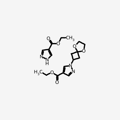 CCOC(=O)c1cn[nH]c1.CCOC(=O)c1cnn(C2CC3(C2)OCCO3)c1